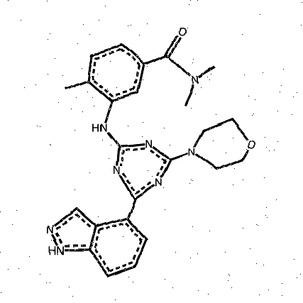 Cc1ccc(C(=O)N(C)C)cc1Nc1nc(-c2cccc3[nH]ncc23)nc(N2CCOCC2)n1